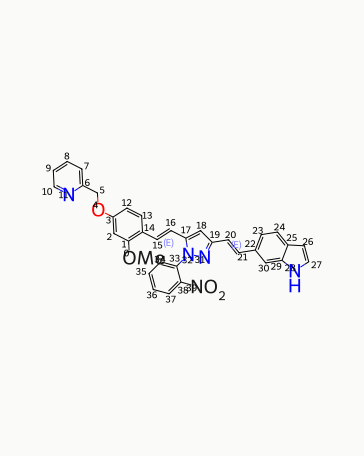 COc1cc(OCc2ccccn2)ccc1/C=C/c1cc(/C=C/c2ccc3cc[nH]c3c2)nn1-c1ccccc1[N+](=O)[O-]